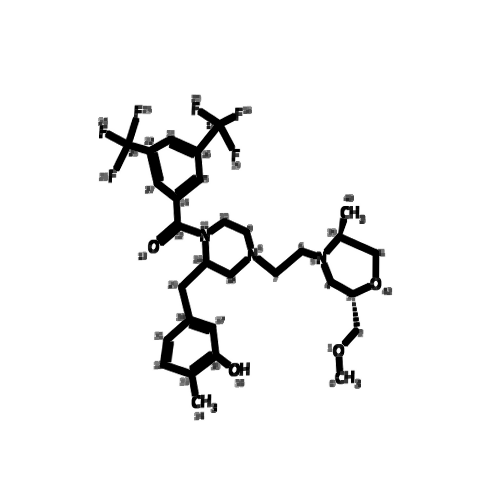 COC[C@@H]1CN(CCN2CCN(C(=O)c3cc(C(F)(F)F)cc(C(F)(F)F)c3)C(Cc3ccc(C)c(O)c3)C2)[C@@H](C)CO1